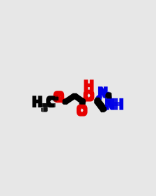 COCCC(=O)O.c1c[nH]cn1